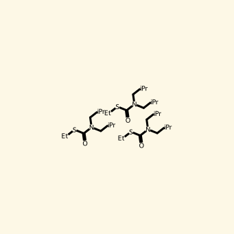 CCSC(=O)N(CC(C)C)CC(C)C.CCSC(=O)N(CC(C)C)CC(C)C.CCSC(=O)N(CC(C)C)CC(C)C